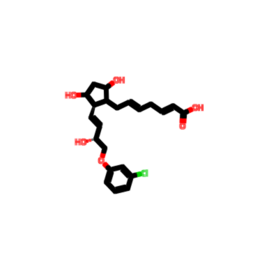 O=C(O)C=CCC=CCC1C(O)CC(O)[C@@H]1C=C[C@@H](O)COc1cccc(Cl)c1